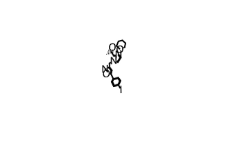 C[C@H](OC1CCCCO1)c1nccn1Cc1cc(-c2ccc(I)cc2)on1